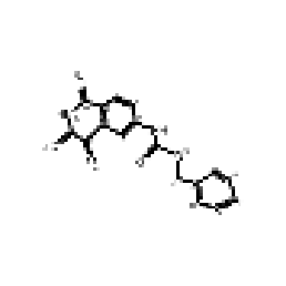 O=C(Nc1ccc2c(c1)C(=O)C(=O)NC2=O)OCc1ccccc1